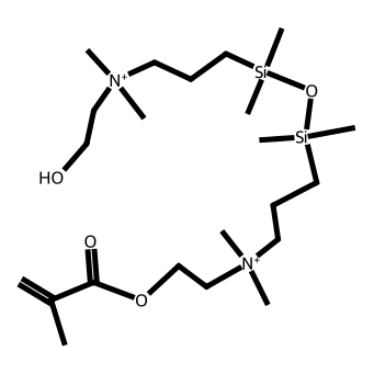 C=C(C)C(=O)OCC[N+](C)(C)CCC[Si](C)(C)O[Si](C)(C)CCC[N+](C)(C)CCO